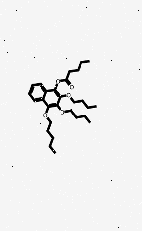 CCCCCOc1c(OCCCC)c(OCCCC)c(OC(=O)CCCC)c2ccccc12